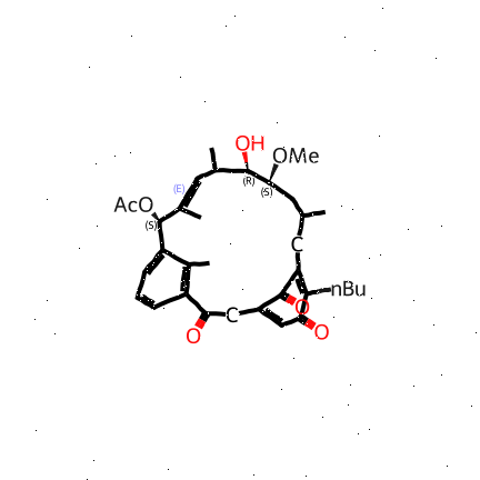 CCCCC1=C2CC(C)C[C@H](OC)[C@H](O)C(C)/C=C(\C)[C@H](OC(C)=O)c3cccc(c3C)C(=O)CC(=CC1=O)C2=O